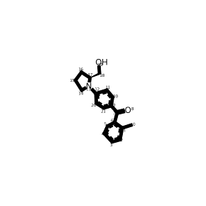 Cc1ccccc1C(=O)c1ccc(N2CCC[C@H]2CO)cc1